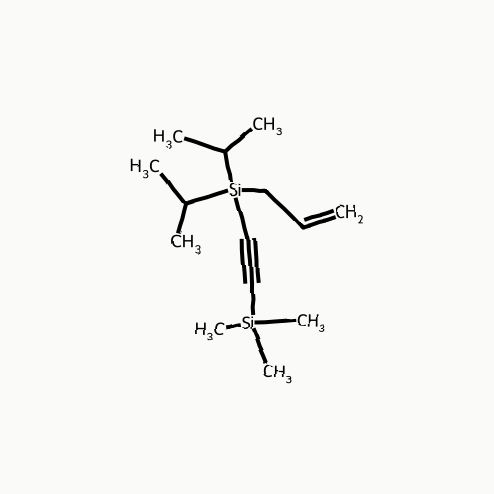 C=CC[Si](C#C[Si](C)(C)C)(C(C)C)C(C)C